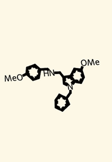 COc1ccc(CNCc2cn(Cc3ccccc3)c3ccc(OC)cc23)cc1